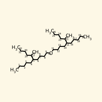 CCCCCC(CCCCOCCCCC(CCCCC)C(C)CCCC)C(C)CCCC